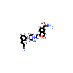 C[C@@H]1CN(c2cccc3cc(C#N)sc23)CCN1CC[C@@H]1OCCc2cc(C(N)=O)ccc21